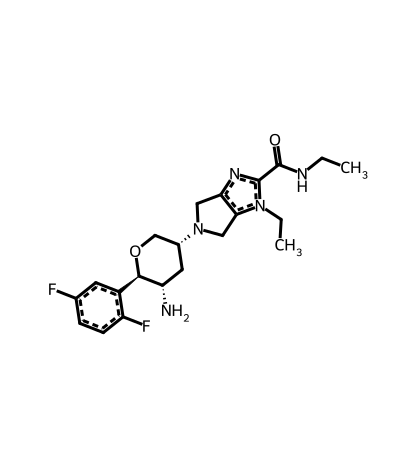 CCNC(=O)c1nc2c(n1CC)CN([C@H]1CO[C@H](c3cc(F)ccc3F)[C@@H](N)C1)C2